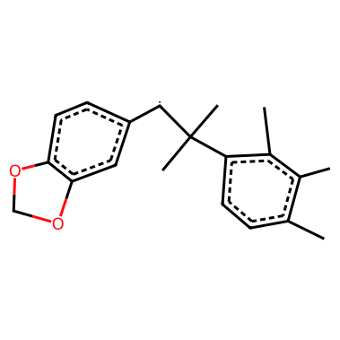 Cc1ccc(C(C)(C)[CH]c2ccc3c(c2)OCO3)c(C)c1C